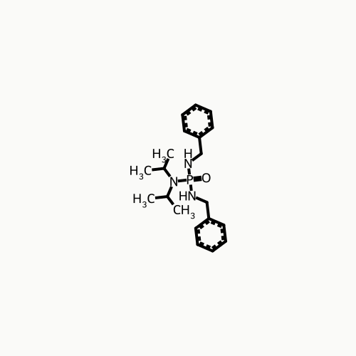 CC(C)N(C(C)C)P(=O)(NCc1ccccc1)NCc1ccccc1